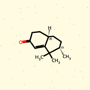 C[C@H]1CC[C@@H]2CCC(=O)C=C2C1(C)C